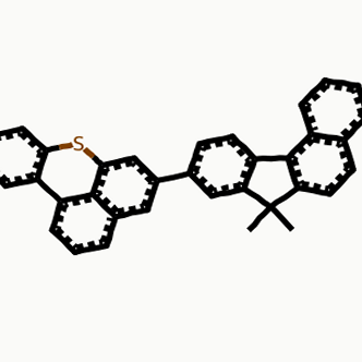 CC1(C)c2cc(-c3cc4c5c(cccc5c3)-c3ccccc3S4)ccc2-c2c1ccc1ccccc21